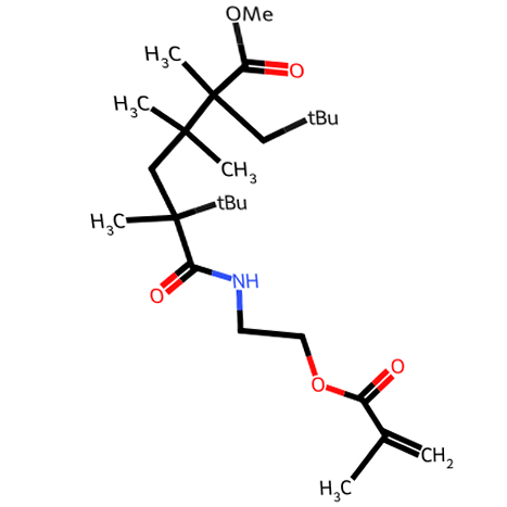 C=C(C)C(=O)OCCNC(=O)C(C)(CC(C)(C)C(C)(CC(C)(C)C)C(=O)OC)C(C)(C)C